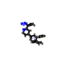 C=C/C(=C\C(=C/C)c1ccnc(C(=C)N)c1)OC